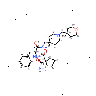 CC1(CNC(=O)[C@@H](Cc2ccccc2)NC(=O)C2(C(N)=O)CCCC2)CCN(CC2(C)CCOCC2)CC1